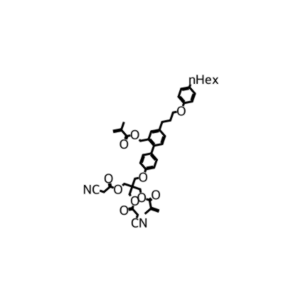 C=C(C)C(=O)OCc1cc(CCCOc2ccc(CCCCCC)cc2)ccc1-c1ccc(OCC(COC(=O)CC#N)(COC(=O)CC#N)COC(=O)C(=C)C)cc1